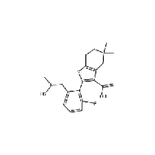 C=C(O)c1c(-c2c(F)cccc2CN(C)S)sc2c1CC(C)(C)CC2